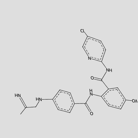 COc1ccc(NC(=O)c2ccc(NCC(C)=N)cc2)c(C(=O)Nc2ccc(Cl)cn2)c1